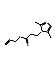 C=CCOC(=O)CCn1c(C)cnc1C